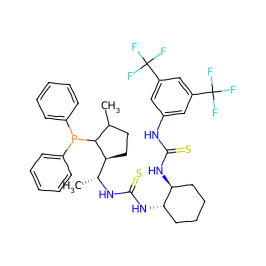 CC1CC[C@@H]([C@@H](C)NC(=S)N[C@H]2CCCC[C@@H]2NC(=S)Nc2cc(C(F)(F)F)cc(C(F)(F)F)c2)C1P(c1ccccc1)c1ccccc1